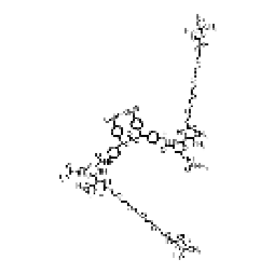 CC(C)[C@H](NC(=O)CCOCCOCCOCCOCCONC(=O)OC(C)(C)C)C(=O)N[C@@H](CCCNC(N)=O)C(=O)Nc1ccc(C(OC(=O)OC(c2ccc(NC(=O)[C@H](CCCNC(N)=O)NC(=O)[C@@H](NC(=O)CCOCCOCCOCCOCCONC(=O)OC(C)(C)C)C(C)C)cc2)c2ccc([N+](=O)[O-])cc2)c2ccc([N+](=O)[O-])cc2)cc1